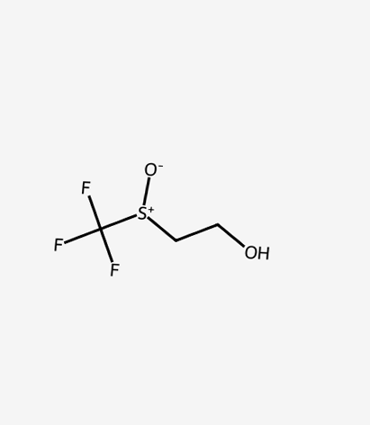 [O-][S+](CCO)C(F)(F)F